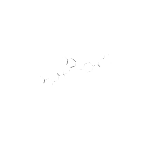 CC(OC(=O)C(C)(C)C)OC(=O)C(C)(C)Oc1cc(C(F)(F)F)ccc1CN1CCN(C(=O)OC(C(F)(F)F)C(F)(F)F)CC1